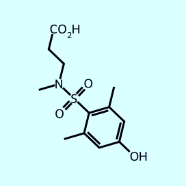 Cc1cc(O)cc(C)c1S(=O)(=O)N(C)CCC(=O)O